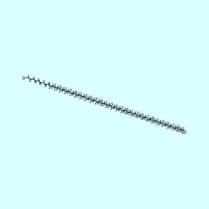 CCCCCCCCCCCCCCCCCCCCCCCCCCCCCCCCCCCCCCCCCCCCCCCCCCCCCCCCCCCCCCC